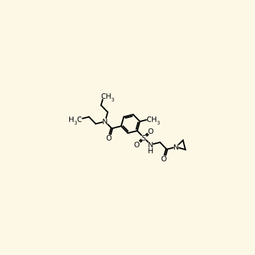 CCCN(CCC)C(=O)c1ccc(C)c(S(=O)(=O)NCC(=O)N2CC2)c1